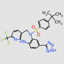 CC(C)(C)c1ccc(S(=O)(=O)N2Cc3ccc(C(F)(F)F)nc3Nc3ccc(-c4nn[nH]n4)cc32)cc1